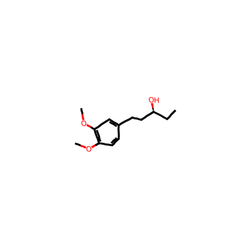 CC[C@H](O)CCc1ccc(OC)c(OC)c1